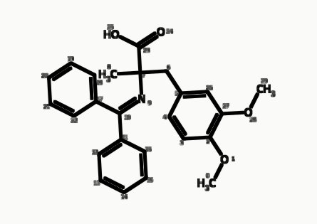 COc1ccc(CC(C)(N=C(c2ccccc2)c2ccccc2)C(=O)O)cc1OC